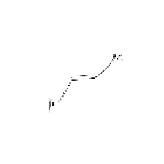 CC(=O)C=CC(C)C